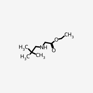 CCOC(=O)CNCC(C)(C)C